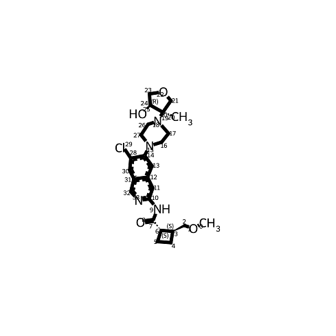 COC[C@H]1CC[C@@H]1C(=O)Nc1cc2cc(N3CCN([C@]4(C)COC[C@@H]4O)CC3)c(Cl)cc2cn1